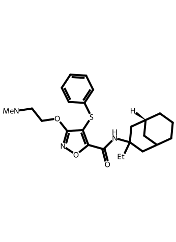 CCC1(NC(=O)c2onc(OCCNC)c2Sc2ccccc2)CC2CCC[C@H](C2)C1